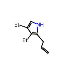 C=CCc1[nH]cc(CC)c1CC